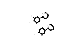 N#Cc1c(F)cc(-c2ccccn2)cc1F.N#Cc1c(F)cc(-c2ccccn2)cc1F.[Ir]